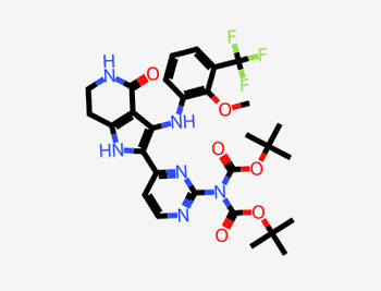 COc1c(Nc2c(-c3ccnc(N(C(=O)OC(C)(C)C)C(=O)OC(C)(C)C)n3)[nH]c3c2C(=O)NCC3)cccc1C(F)(F)F